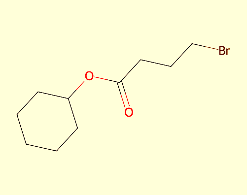 O=C(CCCBr)OC1CCCCC1